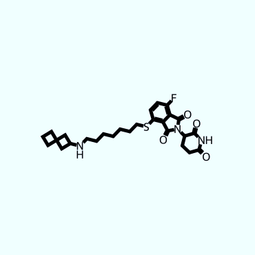 O=C1CCC(N2C(=O)c3c(F)ccc(SCCCCCCCNC4CC5(CCC5)C4)c3C2=O)C(=O)N1